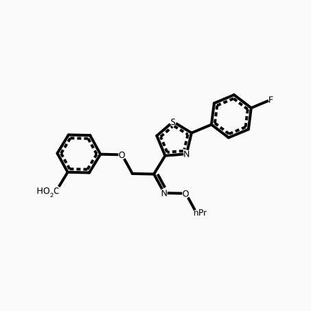 CCCO/N=C(/COc1cccc(C(=O)O)c1)c1csc(-c2ccc(F)cc2)n1